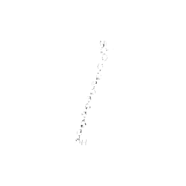 Nc1ccc(OCCOCCOCCOCCOCCOCCOCCOCCOCCOCCO)cc1